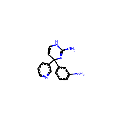 NC1=NC(c2cccnc2)(c2cccc(N)c2)C=CN1